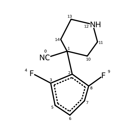 N#CC1(c2c(F)cccc2F)CCNCC1